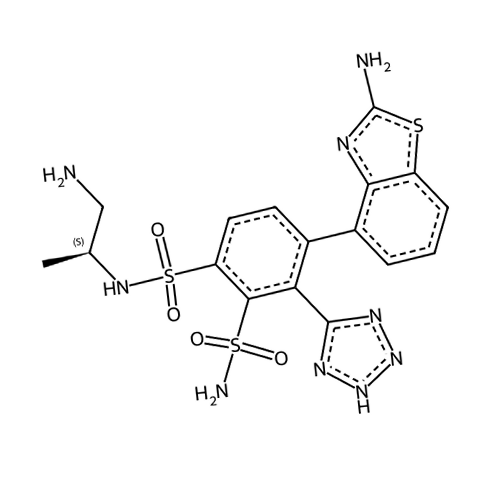 C[C@@H](CN)NS(=O)(=O)c1ccc(-c2cccc3sc(N)nc23)c(-c2nn[nH]n2)c1S(N)(=O)=O